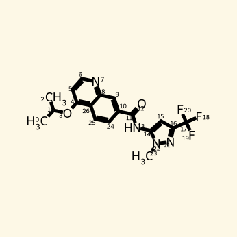 CC(C)Oc1ccnc2cc(C(=O)Nc3cc(C(F)(F)F)nn3C)ccc12